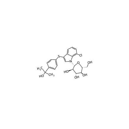 CC(C)(O)c1ccc(Sc2cn([C@@H]3O[C@H](CO)[C@@H](O)[C@H](O)[C@H]3O)c3c(Cl)cccc23)cc1